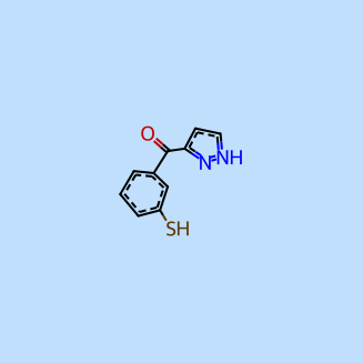 O=C(c1cccc(S)c1)c1cc[nH]n1